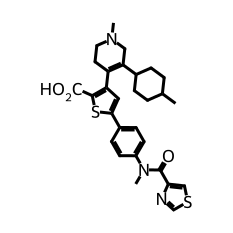 CC1CCC(C2=C(c3cc(-c4ccc(N(C)C(=O)c5cscn5)cc4)sc3C(=O)O)CCN(C)C2)CC1